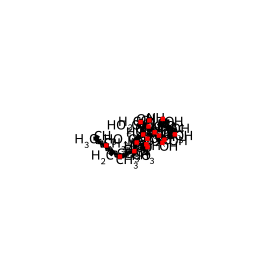 C=C(C/C=C(\C)CCC=C(C)C)CCC(C)(C)/C=C/CC/C(C)=C\CO[C@H](COP(=O)(O)O[C@H]1O[C@H](C(=O)O)[C@@](C)(O)[C@H](OC(N)=O)[C@H]1O[C@@H]1O[C@H](CO[C@@H]2O[C@H](CO)[C@@H](O)[C@H](O)[C@H]2O)[C@@H](O[C@@H]2O[C@H](C)[C@@H](O[C@@H]3O[C@H](C(=O)NC4=C(O)CCC4=O)[C@H](O)[C@H](O)[C@H]3O)[C@H](O)[C@H]2NC(C)=O)[C@H](O)[C@H]1NC(C)=O)C(=O)O